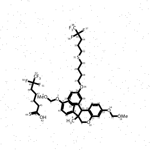 COCOc1ccc(C2(C)COc3cc(OCOC)ccc3C2c2cccc(OCCCCSCCCC(F)(F)C(F)(F)F)c2)cc1.OC(=S)CCCCC(F)(F)C(F)(F)F